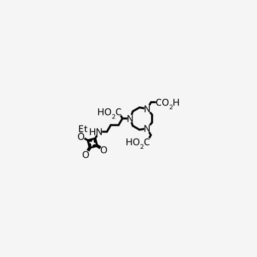 CCOc1c(NCCCC(C(=O)O)N2CCN(CC(=O)O)CCN(CC(=O)O)CC2)c(=O)c1=O